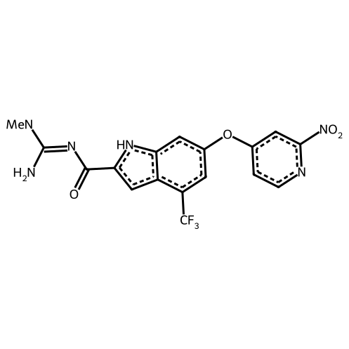 CNC(N)=NC(=O)c1cc2c(C(F)(F)F)cc(Oc3ccnc([N+](=O)[O-])c3)cc2[nH]1